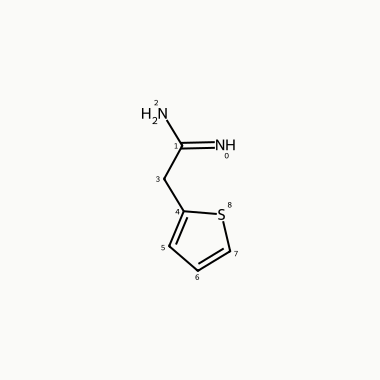 N=C(N)Cc1cccs1